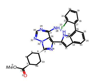 COC(=O)[C@H]1CC[C@H](c2nc(-c3cc4cccc(-c5ccccc5F)c4[nH]3)c3c(N)ncnn32)CC1